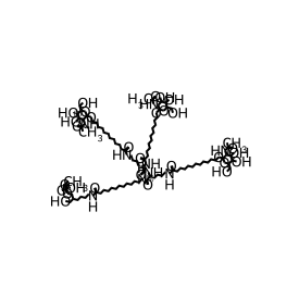 COP(=O)(O)OCC(CO)CCCCNC(=O)CCCCCCCCCCCNC(=O)[C@H](CCCCNC(=O)CCCCCCCCCCCOC1OC(CO)C(O)C(O)C1NC(C)=O)NC(=O)[C@H](CCCCNC(=O)CCCCCCCCCCCOC1OC(CO)[C@H](O)C(O)C1NC(C)=O)NC(=O)CCCCCCCCCCCOC1OC(CO)C(O)C(O)C1NC(C)=O